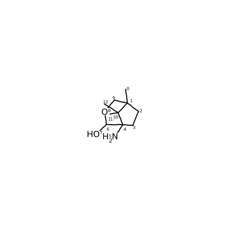 CC12CCC(N)(C(O)OC1)C2(C)C